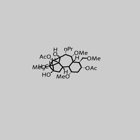 CCC[C@@H]1[C@H](OC)[C@H]2C([C@@H](OC)C[C@@H](OC(C)=O)[C@@H]2COC)[C@@H]2C[C@@]3(O)[C@H](C)[C@@H]2[C@]1(O)[C@@H](OC(C)=O)[C@@H]3OC